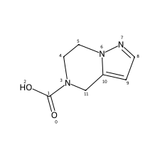 O=C(O)N1CCn2nccc2C1